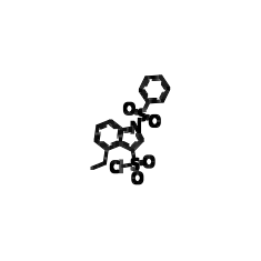 CCc1cccc2c1c(S(=O)(=O)Cl)cn2S(=O)(=O)c1ccccc1